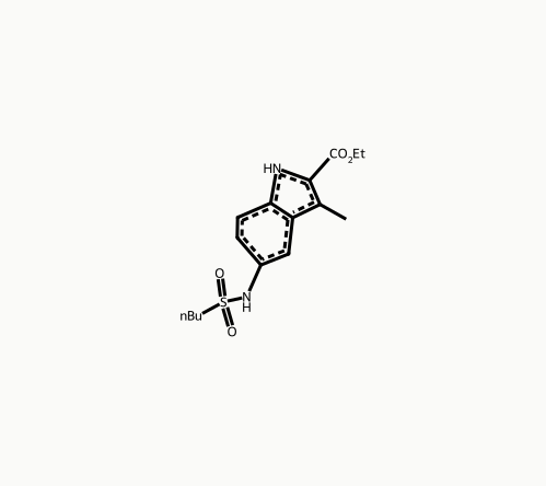 CCCCS(=O)(=O)Nc1ccc2[nH]c(C(=O)OCC)c(C)c2c1